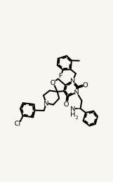 Cc1cccc(F)c1Cn1c2c(c(=O)n(C[C@H](N)c3ccccc3)c1=O)C1(CCN(Cc3cccc(Cl)c3)CC1)OC2